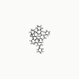 c1ccc(-c2ccc(N(c3ccc(-c4ccccc4)cc3)c3cc4c(oc5cccc(-c6cccc7ccccc67)c54)c4ccccc34)cc2)cc1